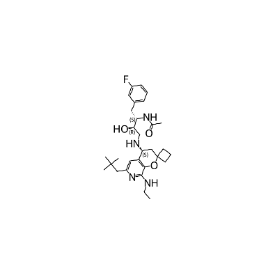 CCNc1nc(CC(C)(C)C)cc2c1OC1(CCC1)C[C@@H]2NC[C@@H](O)[C@H](Cc1cccc(F)c1)NC(C)=O